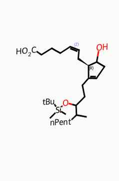 CCCCCC(C)C(CCC1=CCC(O)[C@@H]1C/C=C\CCCC(=O)O)O[Si](C)(C)C(C)(C)C